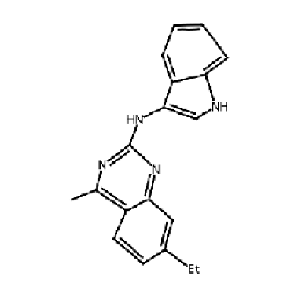 CCc1ccc2c(C)nc(Nc3c[nH]c4ccccc34)nc2c1